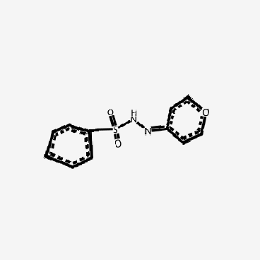 O=S(=O)(NN=c1ccocc1)c1ccccc1